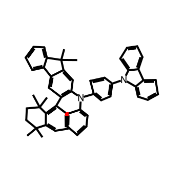 CC1(C)CCC(C)(C)c2c(-c3cc4c(cc3N(c3ccccc3)c3ccc(-n5c6ccccc6c6ccccc65)cc3)C(C)(C)c3ccccc3-4)cccc21